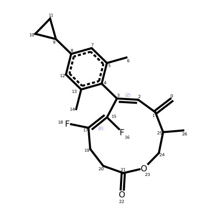 C=C1/C=C(c2c(C)cc(C3CC3)cc2C)\C(F)=C(/F)CCC(=O)OCC1C